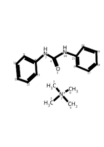 C[N+](C)(C)C.O=C(Nc1ccccc1)Nc1ccccc1